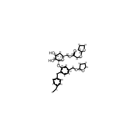 CCc1ccc(Cc2ccc(COC3CCCO3)cc2O[C@H]2O[C@H](COC(=O)COC3CCCO3)C[C@H](O)[C@H]2O)cc1